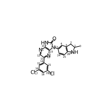 CC1Cc2cc(-n3c(=O)[nH]c4ncc(-c5cc(Cl)cc(Cl)c5)nc43)ccc2N1